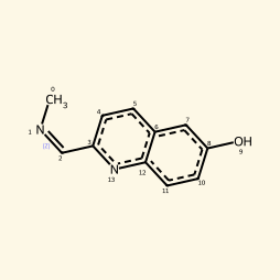 C/N=C\c1ccc2cc(O)ccc2n1